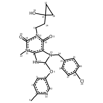 Cc1ccc(OC2Nc3c(c(=O)n(CCC4(O)CC4)c(=O)n3C)N2Cc2ccc(Cl)cc2)cn1